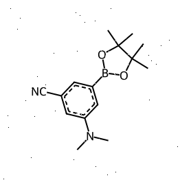 CN(C)c1cc(C#N)cc(B2OC(C)(C)C(C)(C)O2)c1